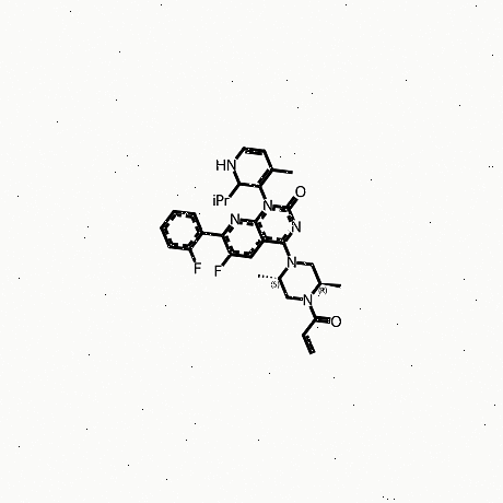 C=CC(=O)N1C[C@H](C)N(c2nc(=O)n(C3=C(C)C=CNC3C(C)C)c3nc(-c4ccccc4F)c(F)cc23)C[C@H]1C